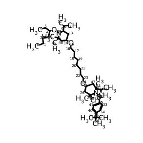 CCCCC(CC)ON1C(C(C)C)CC(OCCCCCCCCOC2CC(C)(C)N(Oc3ccc(C(C)(C)C)cc3)C(C)(C(C)C)C2)CC1(C)C